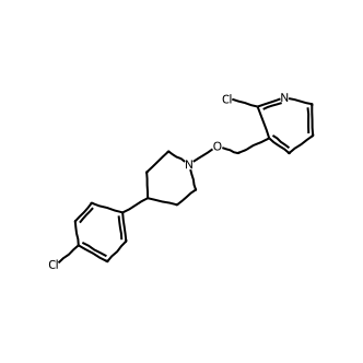 Clc1ccc(C2CCN(OCc3cccnc3Cl)CC2)cc1